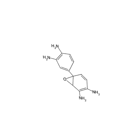 NC1=C(N)C2OC2(c2ccc(N)c(N)c2)C=C1